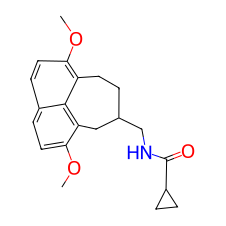 COc1ccc2ccc(OC)c3c2c1CCC(CNC(=O)C1CC1)C3